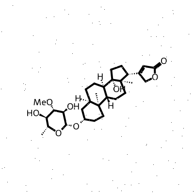 CO[C@@H]1[C@@H](O)[C@H](O[C@H]2CC[C@@]3(C)[C@H](CC[C@@H]4[C@@H]3CC[C@]3(C)[C@@H](C5=CC(=O)OC5)CC[C@]43O)C2)O[C@H](C)[C@H]1O